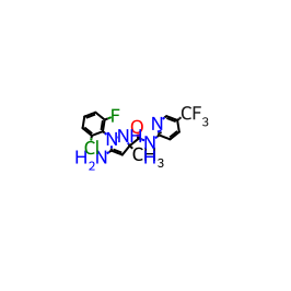 CC1(C(=O)Nc2ccc(C(F)(F)F)cn2)C=C(N)N(c2c(F)cccc2Cl)N1